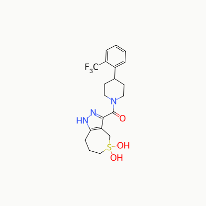 O=C(c1n[nH]c2c1CS(O)(O)CCC2)N1CCC(c2ccccc2C(F)(F)F)CC1